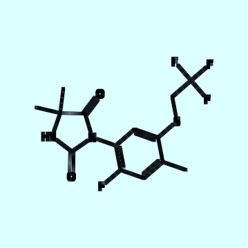 Cc1cc(F)c(N2C(=O)NC(C)(C)C2=O)cc1SCC(F)(F)F